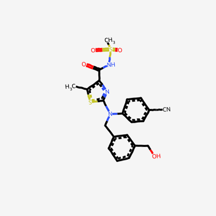 Cc1sc(N(Cc2cccc(CO)c2)c2ccc(C#N)cc2)nc1C(=O)NS(C)(=O)=O